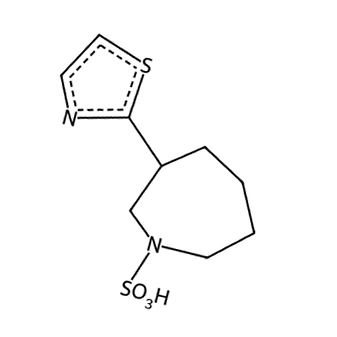 O=S(=O)(O)N1CCCCC(c2nccs2)C1